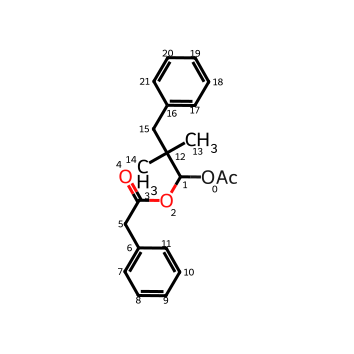 CC(=O)OC(OC(=O)Cc1ccccc1)C(C)(C)Cc1ccccc1